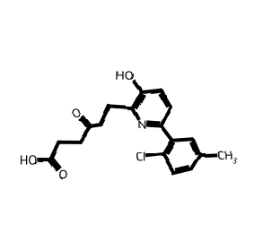 Cc1ccc(Cl)c(-c2ccc(O)c(CCC(=O)CCC(=O)O)n2)c1